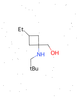 CCC1CC(CO)(NCC(C)(C)C)C1